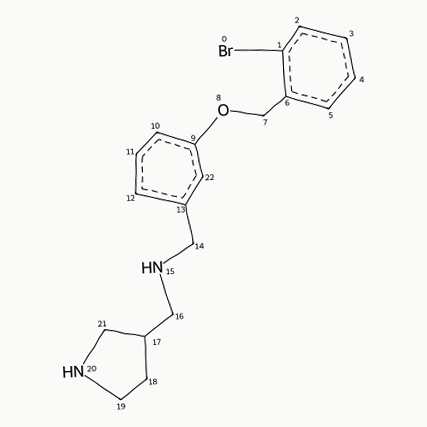 Brc1ccccc1COc1cccc(CNCC2CCNC2)c1